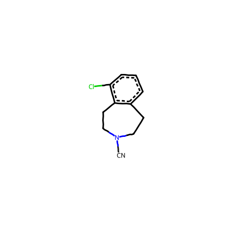 N#CN1CCc2cccc(Cl)c2CC1